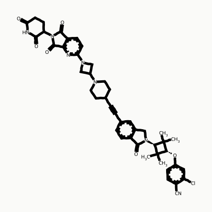 CC1(C)[C@H](Oc2ccc(C#N)c(Cl)c2)C(C)(C)[C@H]1N1Cc2cc(C#CC3CCN(C4CN(c5ccc6c(n5)C(=O)N(C5CCC(=O)NC5=O)C6=O)C4)CC3)ccc2C1=O